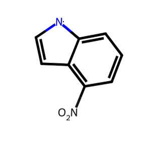 O=[N+]([O-])c1cccc2c1C=C[N]2